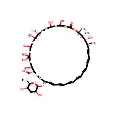 C[C@@H]1[C@H](O)[C@@H](C)/C=C/C=C/C=C/C=C/C=C/C=C/C=C/[C@H](O[C@@H]2O[C@H](C)[C@@H](O)C[C@@H]2O)CC[C@H](CO)[C@@H](O)CC(O)(O)C[C@@H](O)C[C@@H](O)[C@H](O)CC[C@@H](O)C[C@@H](O)CC(=O)O[C@H]1C